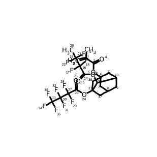 C=C(C)C(=O)OC12CC3CC(C1)C(OC(=O)C(F)(F)C(C)(F)F)C(OC(=O)C(F)(F)C(F)(F)C(F)(F)F)(C3)C2